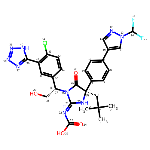 CC(C)(C)C[C@]1(c2ccc(-c3cnn(C(F)F)c3)cc2)N/C(=N\C(=O)O)N([C@H](CO)c2ccc(Cl)c(-c3nnn[nH]3)c2)C1=O